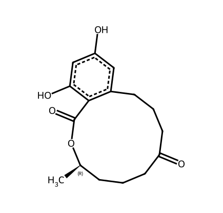 C[C@@H]1CCCC(=O)CCCc2cc(O)cc(O)c2C(=O)O1